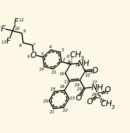 C[C@@]1(c2ccc(OCCCC(F)(F)F)cc2)CC(c2ccccc2)=C(C(=O)NS(C)(=O)=O)C(=O)N1